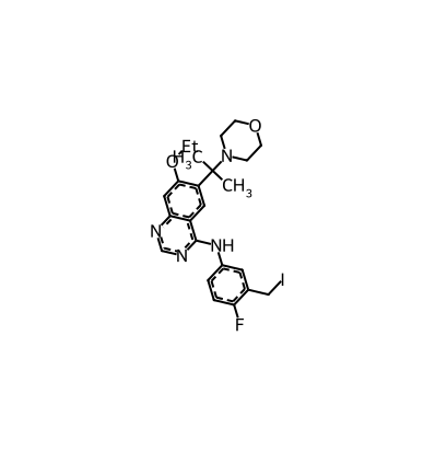 CCOc1cc2ncnc(Nc3ccc(F)c(CI)c3)c2cc1C(C)(C)N1CCOCC1